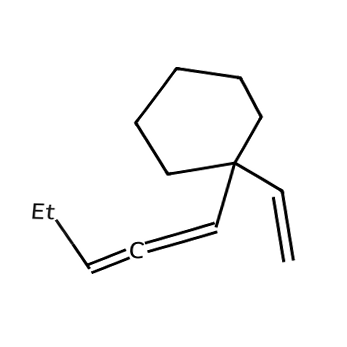 C=CC1(C=C=CCC)CCCCC1